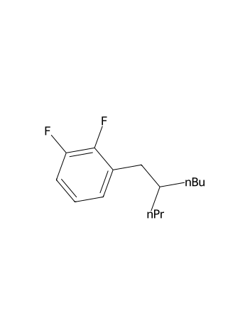 CCCCC(CCC)Cc1cccc(F)c1F